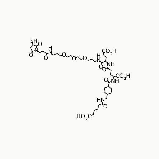 O=C(O)CCCCC(=O)NCC1CCC(C(=O)NC(CCC(=O)NC(CCC(=O)O)C(=O)NCCCOCCOCCOCCCNC(=O)CCN2C(=O)CC(S)C2=O)C(=O)O)CC1